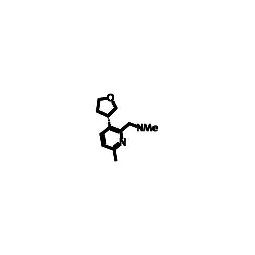 CNCc1nc(C)ccc1[C@@H]1CCOC1